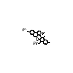 Cc1ccc2c(CC(C)C)c3c(c(C)c2c1)-c1c2c(cc4cc(CC(C)C)ccc4c2cc[n+]1C)O3